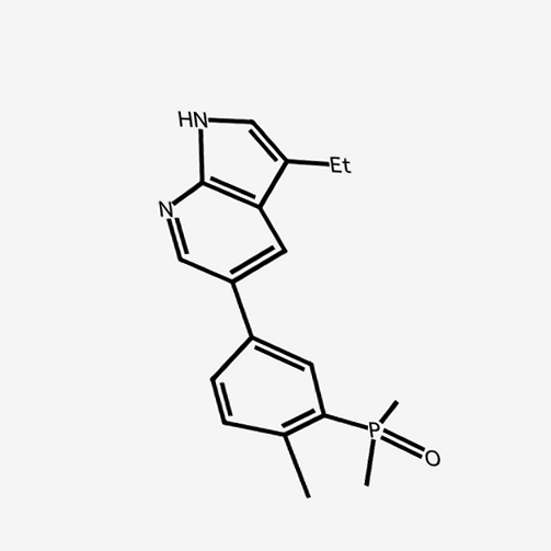 CCc1c[nH]c2ncc(-c3ccc(C)c(P(C)(C)=O)c3)cc12